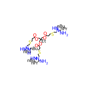 CCCCNN(CCSCCC(=O)OCC(CC)(COC(=O)CCSCCN(NCCCC)C(N)CCC)COC(=O)CCSCCN(NCCCC)C(N)CCC)NCCCC